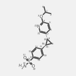 CC(C)Oc1ccc([C@@H]2C[C@H]2c2ccc(S(N)(=O)=O)cc2)cn1